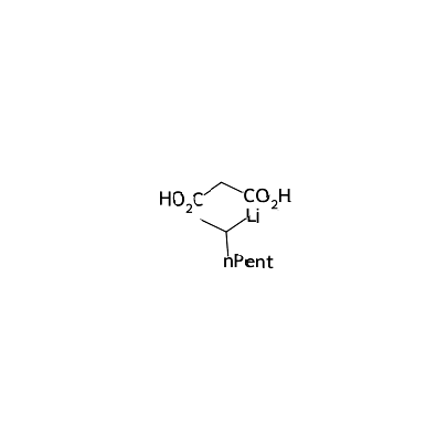 O=C(O)CC(=O)O.[Li][CH](C)CCCCC